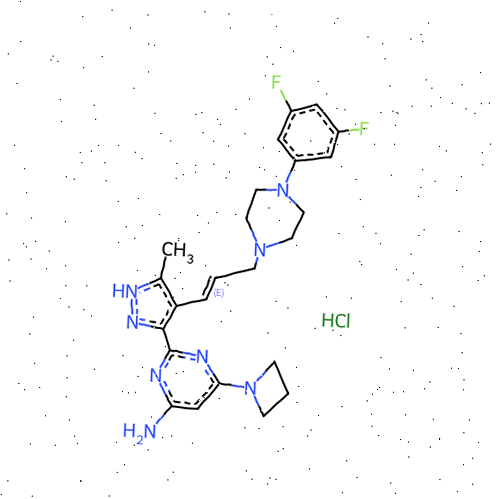 Cc1[nH]nc(-c2nc(N)cc(N3CCC3)n2)c1/C=C/CN1CCN(c2cc(F)cc(F)c2)CC1.Cl